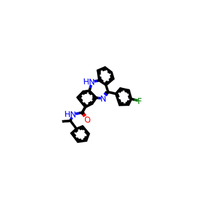 CC(NC(=O)c1ccc2c(c1)N=C(c1ccc(F)cc1)c1ccccc1N2)c1ccccc1